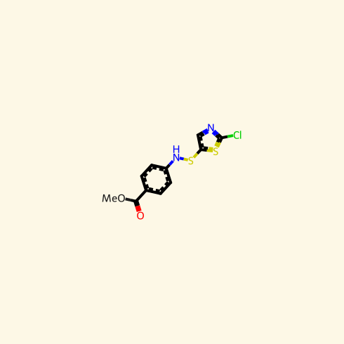 COC(=O)c1ccc(NSc2cnc(Cl)s2)cc1